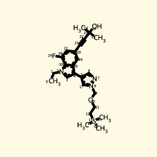 CCn1cc(-c2cnn(COCCS(C)(C)C)c2)c2cc(C#CC(C)(C)O)cc(F)c21